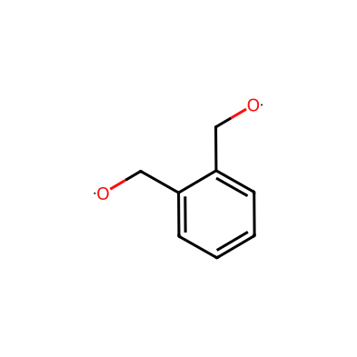 [O]Cc1ccccc1C[O]